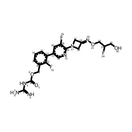 N=C(N)NC(=O)OCc1cccc(-c2cnc(N3CC(=NOCC(F)CO)C3)c(F)c2)c1F